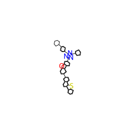 c1ccc(-c2nc(-c3ccc(C4CCCCC4)cc3)nc(-c3ccc4c(c3)oc3ccc(-c5ccc6c(ccc7c8ccccc8sc67)c5)cc34)n2)cc1